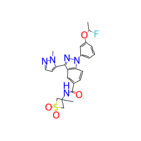 CC(F)Oc1cccc(-n2nc(-c3ccnn3C)c3cc(C(=O)NC4(C)CS(=O)(=O)C4)ccc32)c1